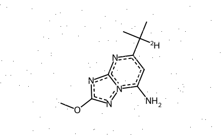 [2H]C(C)(C)c1cc(N)n2nc(OC)nc2n1